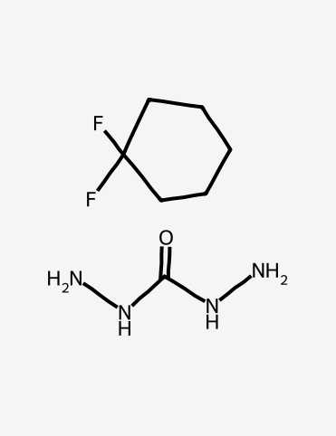 FC1(F)CCCCC1.NNC(=O)NN